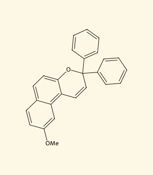 COc1ccc2ccc3c(c2c1)C=CC(c1ccccc1)(c1ccccc1)O3